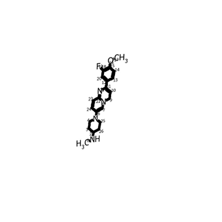 CNC1CCN(C2=CN3CC=C(c4ccc(OC)c(F)c4)N=C3C=C2)CC1